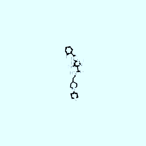 O=C(Nc1[nH]nc(C(=O)NCCC2CCN(c3ccncc3)CC2)c1Br)c1ccccc1F